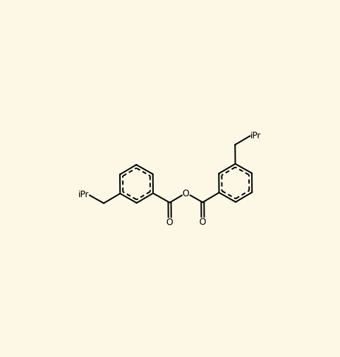 CC(C)Cc1cccc(C(=O)OC(=O)c2cccc(CC(C)C)c2)c1